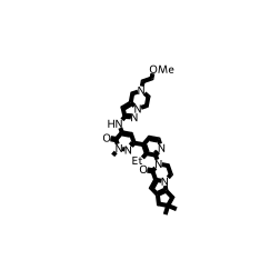 CCc1c(-c2cc(Nc3cc4n(n3)CCN(CCOC)C4)c(=O)n(C)n2)ccnc1N1CCn2c(cc3c2CC(C)(C)C3)C1=O